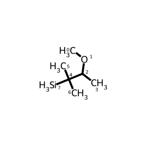 COC(C)C(C)(C)[SiH3]